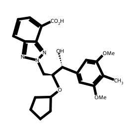 COc1cc([C@@H](O)[C@H](Cn2nc3cccc(C(=O)O)c3n2)OC2CCCC2)cc(OC)c1C